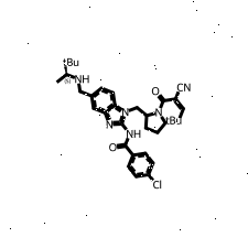 C[C@H](NCc1ccc2c(c1)nc(NC(=O)c1ccc(Cl)cc1)n2CC1CCCN1C(=O)C(C#N)=CC(C)(C)C)C(C)(C)C